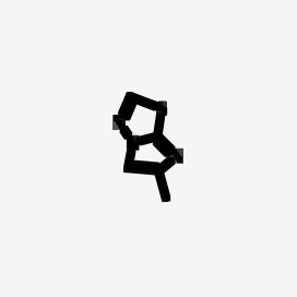 Cc1cn2ncsc2n1